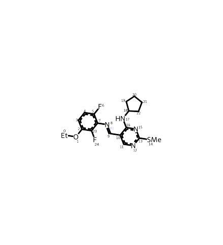 CCOc1ccc(F)c(/N=C/c2cnc(SC)nc2NC2CCCC2)c1F